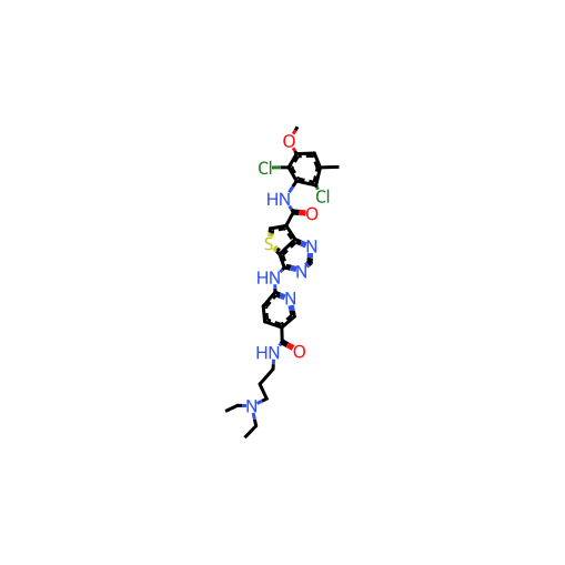 CCN(CC)CCCNC(=O)c1ccc(Nc2ncnc3c(C(=O)Nc4c(Cl)c(C)cc(OC)c4Cl)csc23)nc1